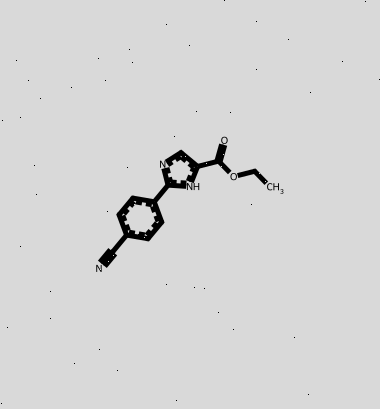 CCOC(=O)c1cnc(-c2ccc(C#N)cc2)[nH]1